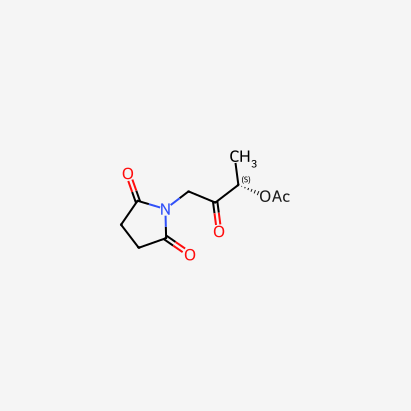 CC(=O)O[C@@H](C)C(=O)CN1C(=O)CCC1=O